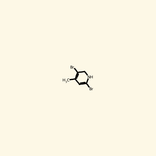 CC1=C(Br)CNC(Br)=C1